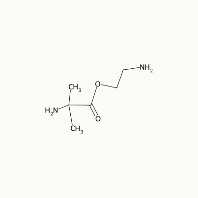 CC(C)(N)C(=O)OCCN